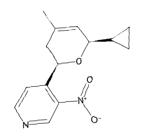 CC1=C[C@@H](C2CC2)O[C@@H](c2ccncc2[N+](=O)[O-])C1